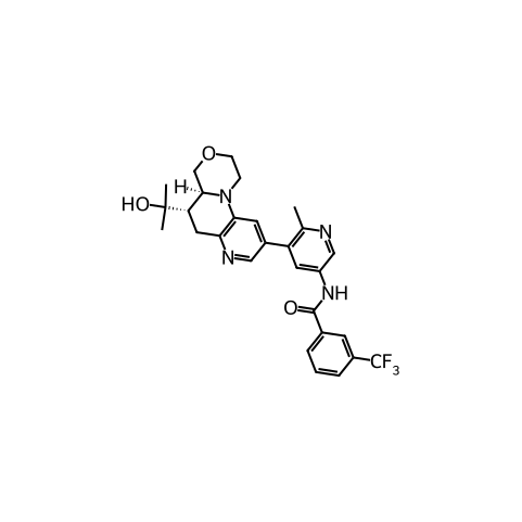 Cc1ncc(NC(=O)c2cccc(C(F)(F)F)c2)cc1-c1cnc2c(c1)N1CCOC[C@@H]1[C@@H](C(C)(C)O)C2